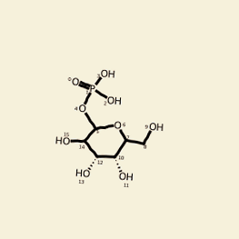 O=P(O)(O)OC1OC(CO)[C@H](O)[C@H](O)C1O